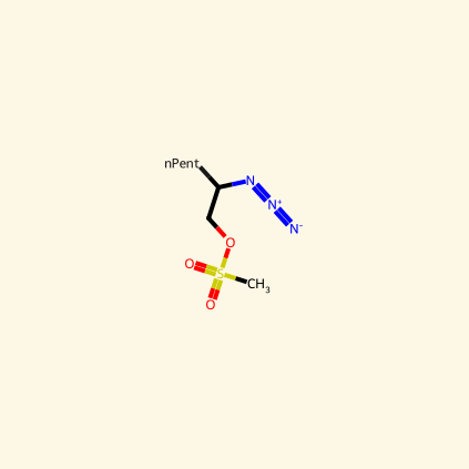 CCCCCC(COS(C)(=O)=O)N=[N+]=[N-]